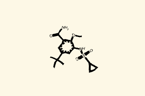 COc1c(NS(=O)(=O)C2CC2)cc(C(C)(C)C)cc1C(N)=O